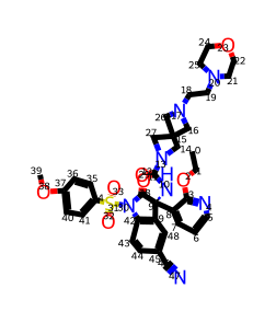 CCOc1ncccc1[C@]1(NC(=O)N2CC3(CN(CCN4CCOCC4)C3)C2)C(=O)N(S(=O)(=O)c2ccc(OC)cc2)c2ccc(C#N)cc21